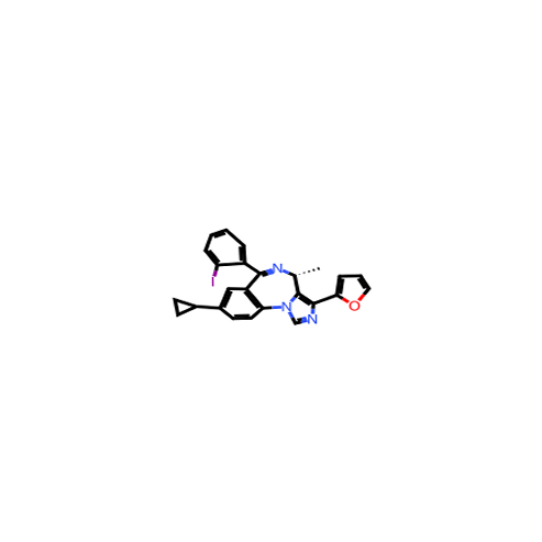 C[C@H]1N=C(c2ccccc2I)c2cc(C3CC3)ccc2-n2cnc(-c3ccco3)c21